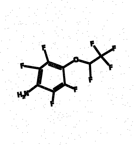 Nc1c(F)c(F)c(OC(F)C(F)(F)F)c(F)c1F